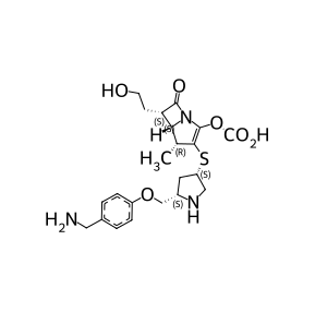 C[C@H]1C(S[C@@H]2CN[C@H](COc3ccc(CN)cc3)C2)=C(OC(=O)O)N2C(=O)[C@@H](CCO)[C@@H]12